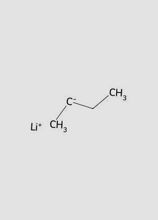 C[CH-]CC.[Li+]